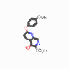 CCOC(=O)c1ncc2nc(Oc3ccc(OC)cc3)ccc2c1O